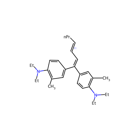 CCC/C=C/C=C(c1ccc(N(CC)CC)c(C)c1)c1ccc(N(CC)CC)c(C)c1